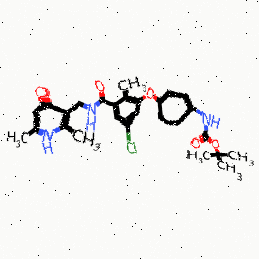 Cc1cc(=O)c(CNC(=O)c2cc(Cl)cc(OC3CCC(NC(=O)OC(C)(C)C)CC3)c2C)c(C)[nH]1